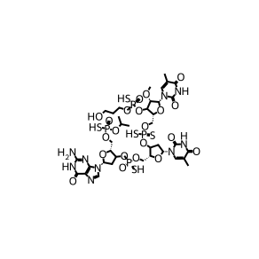 CO[C@H]1C(OP(=O)(S)OCCCO)[C@@H](COP(=S)(S)OC2C[C@H](n3cc(C)c(=O)[nH]c3=O)O[C@@H]2COP(=O)(S)OC2C[C@H](n3cnc4c(=O)[nH]c(N)nc43)O[C@@H]2COP(=O)(S)OC(C)C)O[C@H]1n1cc(C)c(=O)[nH]c1=O